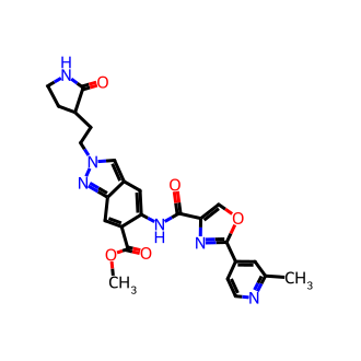 COC(=O)c1cc2nn(CCC3CCNC3=O)cc2cc1NC(=O)c1coc(-c2ccnc(C)c2)n1